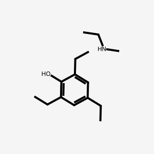 CCNC.CCc1cc(CC)c(O)c(CC)c1